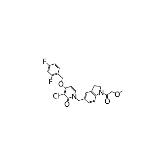 COCC(=O)N1CCc2cc(Cn3ccc(OCc4ccc(F)cc4F)c(Cl)c3=O)ccc21